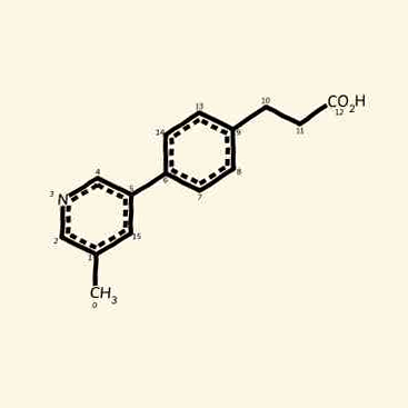 Cc1cncc(-c2ccc(CCC(=O)O)cc2)c1